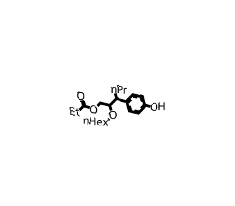 CCCCCCOC(COC(=O)CC)C(CCC)c1ccc(O)cc1